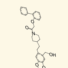 O=C(COc1ccccc1-c1ccccc1)N1CCC(CCc2cc3c(cc2CO)OCO3)CC1